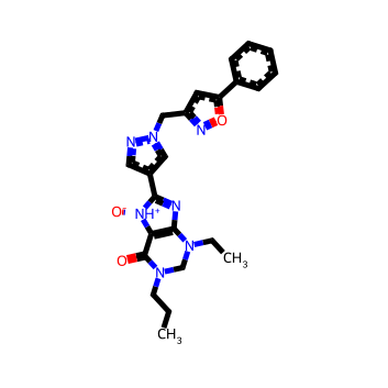 CCCN1CN(CC)C2=C(C1=O)[NH+]([O-])C(c1cnn(Cc3cc(-c4ccccc4)on3)c1)=N2